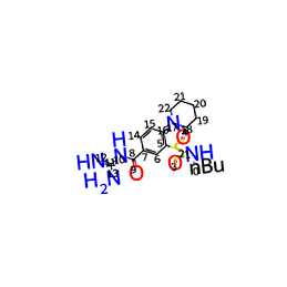 CCCCNS(=O)(=O)c1cc(C(=O)NC(=N)N)ccc1N1CCCCC1